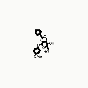 COc1ccc(O[C@@H]2OC(CO)[C@@H](O)[C@H](C)C2OC(=O)c2ccccc2)cc1